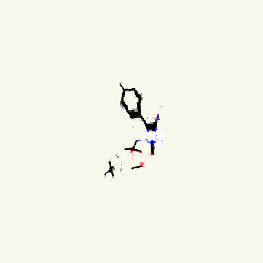 CCOCc1nc(I)c(-c2ccc(C)cc2)n1CC(C)(C)O[Si](C)(C)C(C)(C)C